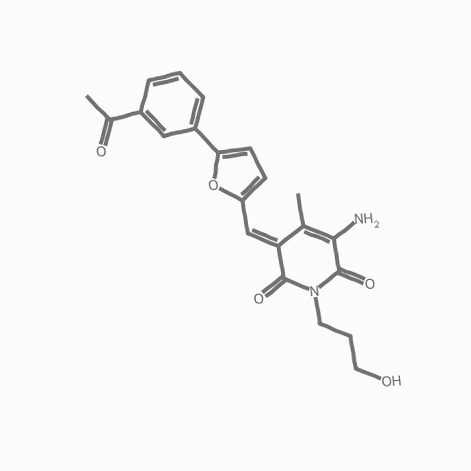 CC(=O)c1cccc(-c2ccc(/C=C3/C(=O)N(CCCO)C(=O)C(N)=C3C)o2)c1